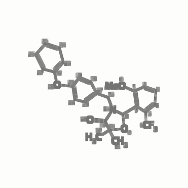 COc1cccc(C(F)(F)F)c1C1OC(C)(C)C(=O)N1Cc1ccc(Oc2ccccc2)cc1